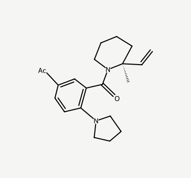 C=C[C@]1(C)CCCCN1C(=O)c1cc(C(C)=O)ccc1N1CCCC1